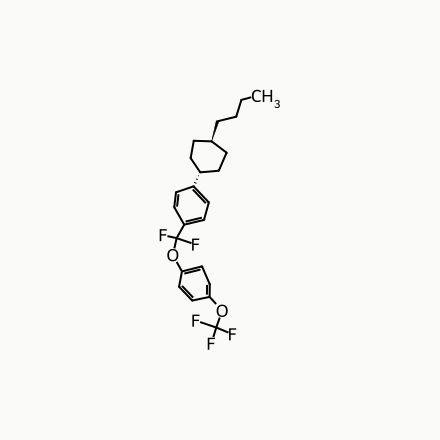 CCCC[C@H]1CC[C@H](c2ccc(C(F)(F)Oc3ccc(OC(F)(F)F)cc3)cc2)CC1